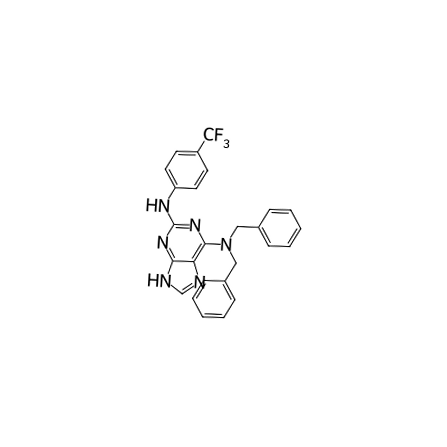 FC(F)(F)c1ccc(Nc2nc(N(Cc3ccccc3)Cc3ccccc3)c3nc[nH]c3n2)cc1